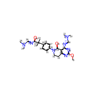 COc1nc2c(c(/N=C/N(C)C)n1)C(=O)N(c1ccc(C(C)(C)C(=O)/N=C/N(C)C)cc1)CC2